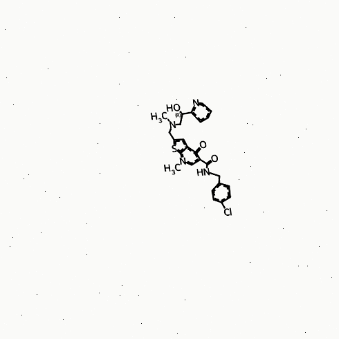 CN(Cc1cc2c(=O)c(C(=O)NCc3ccc(Cl)cc3)cn(C)c2s1)C[C@@H](O)c1ccccn1